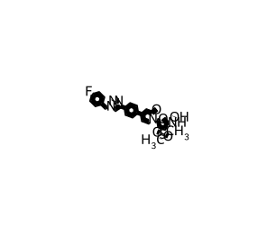 CC(CCn1ccc(-c2ccc(-c3cn(Cc4ccc(F)cc4)nn3)cc2)cc1=O)(C(=O)NO)S(C)(=O)=O